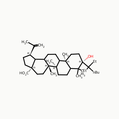 C=C(C)[C@@H]1CC[C@]2(C(=O)O)CC[C@]3(C)C(CCC4[C@@]5(C)CC[C@@](O)(C(CC)(CC)CCCC)C(C)(C)C5CC[C@]43C)C12